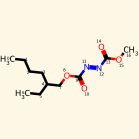 CCCCC(CC)COC(=O)/N=N/C(=O)OC